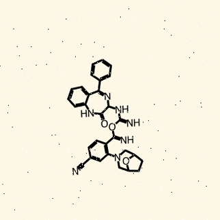 N#Cc1ccc(C(=N)OC(=N)NC2N=C(c3ccccc3)c3ccccc3NC2=O)c(N2CC3CCC(C2)O3)c1